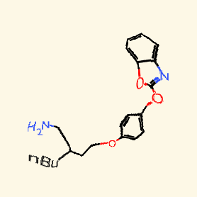 CCCCC(CN)CCOc1ccc(Oc2nc3ccccc3o2)cc1